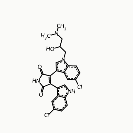 CN(C)CC(O)Cn1cc(C2=C(c3c[nH]c4ccc(Cl)cc34)C(=O)NC2=O)c2cc(Cl)ccc21